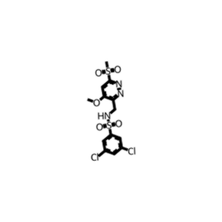 COc1cc(S(C)(=O)=O)nnc1CNS(=O)(=O)c1cc(Cl)cc(Cl)c1